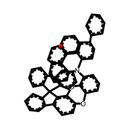 c1ccc(-c2ccc(N(c3ccccc3-c3ccccc3)c3cccc4c3Oc3c(ccc5c3C3(c6ccccc6-c6ccccc63)c3ccccc3-5)O4)c(-c3ccccc3)c2)cc1